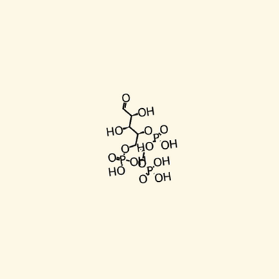 O=C[C@@H](O)[C@H](O)[C@@H](OP(=O)(O)O)[C@H](COP(=O)(O)O)OP(=O)(O)O